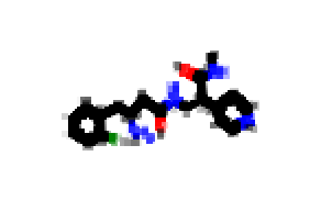 CNC(=O)[C@H](CNC(=O)C[C@H](N)Cc1ccccc1F)c1ccncc1